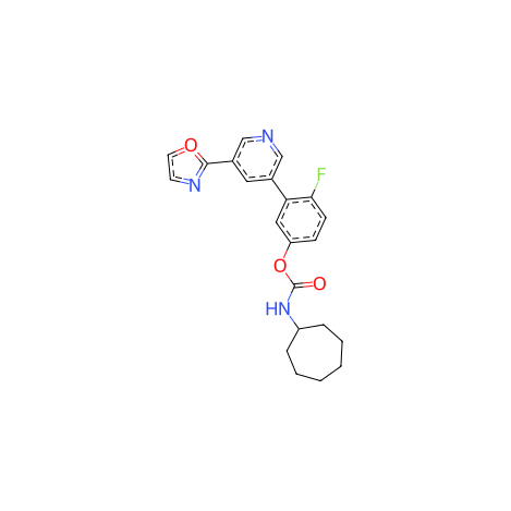 O=C(NC1CCCCCC1)Oc1ccc(F)c(-c2cncc(-c3ncco3)c2)c1